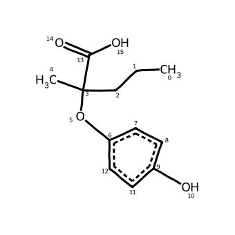 CCCC(C)(Oc1ccc(O)cc1)C(=O)O